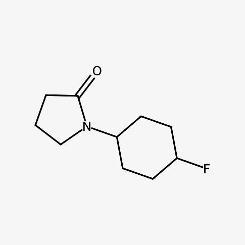 O=C1CCCN1C1CCC(F)CC1